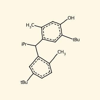 Cc1ccc(C(C)(C)C)cc1C(c1cc(C(C)(C)C)c(O)cc1C)C(C)C